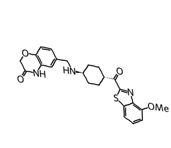 COc1cccc2sc(C(=O)[C@H]3CC[C@H](NCc4ccc5c(c4)NC(=O)CO5)CC3)nc12